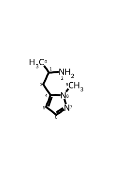 CC(N)Cc1ccnn1C